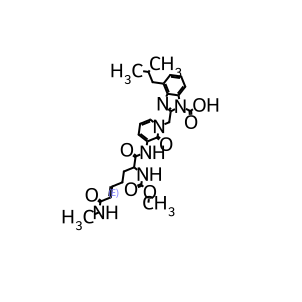 CNC(=O)/C=C/CCC(NC(=O)OC)C(=O)Nc1cccn(Cc2nc3c(CC(C)C)cccc3n2C(=O)O)c1=O